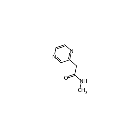 CNC(=O)Cc1cnccn1